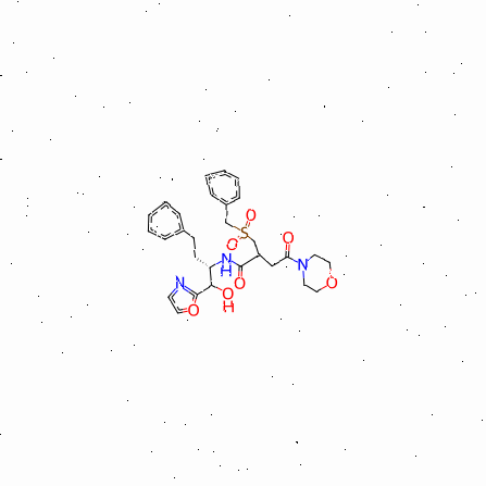 O=C(N[C@@H](CCc1ccccc1)C(O)c1ncco1)C(CC(=O)N1CCOCC1)CS(=O)(=O)Cc1ccccc1